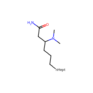 CCCCCCCCCCC(CC(N)=O)N(C)C